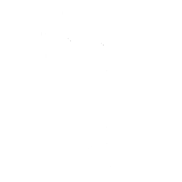 CCC(C)C(=O)SCOCCOP(N(C(C)C)C(C)C)N(C(C)C)C(C)C